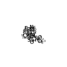 CC(C)(C)OC(=O)N1CC(=O)C(C(=S)Nc2ccccc2)=C(NCc2ccncc2OCC(F)(F)P)C1